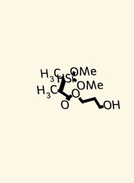 CO[SiH](OC)C(C)=C(C)C(=O)OCCCO